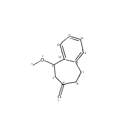 COC1CC(=O)CCc2ccccc21